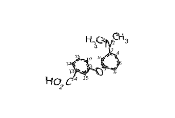 CN(C)c1cccc(Oc2cccc(C(=O)O)c2)c1